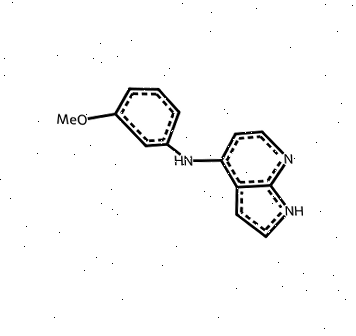 COc1cccc(Nc2ccnc3[nH]ccc23)c1